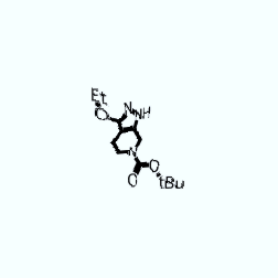 CCOc1n[nH]c2c1CCN(C(=O)OC(C)(C)C)C2